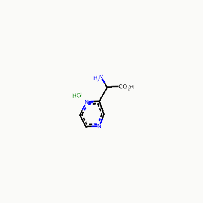 Cl.NC(C(=O)O)c1cnccn1